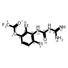 CCc1ccc(OC(=O)C(F)(F)F)c(CC)c1NC(=O)NC(=N)N